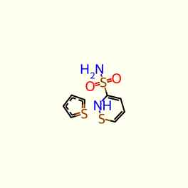 NS(=O)(=O)C1=CC=CSN1.c1ccsc1